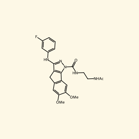 COc1cc2c(cc1OC)-c1c(c(Nc3cccc(F)c3)nn1C(=O)NCCNC(C)=O)C2